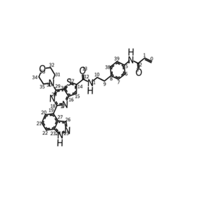 C=CC(=O)Nc1ccc(CCNC(=O)c2cc3nc(-c4cccc5[nH]ncc45)nc(N4CCOCC4)c3s2)cc1